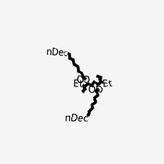 CC=C(CC)C(CCC(OC(=O)CCCCCCCCCCCCCCCCC)C(=CC)CC)OC(=O)CCCCCCCCCCCCCCCCC